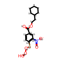 O=C(OCCC1CCCCC1)c1ccc(SOOO)c([N+](=O)[O-])c1